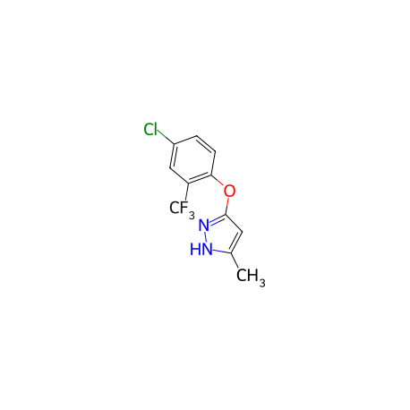 Cc1cc(Oc2ccc(Cl)cc2C(F)(F)F)n[nH]1